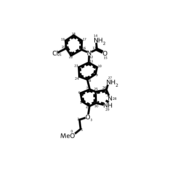 COCCOc1ccc(-c2ccc(N(C(N)=O)c3cccc(Cl)c3)cc2)c2c(N)n[nH]c12